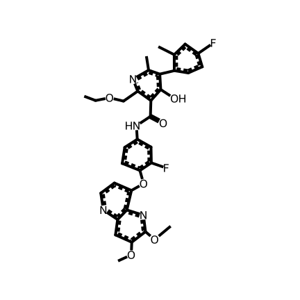 CCOCc1nc(C)c(-c2ccc(F)cc2C)c(O)c1C(=O)Nc1ccc(Oc2ccnc3cc(OC)c(OC)nc23)c(F)c1